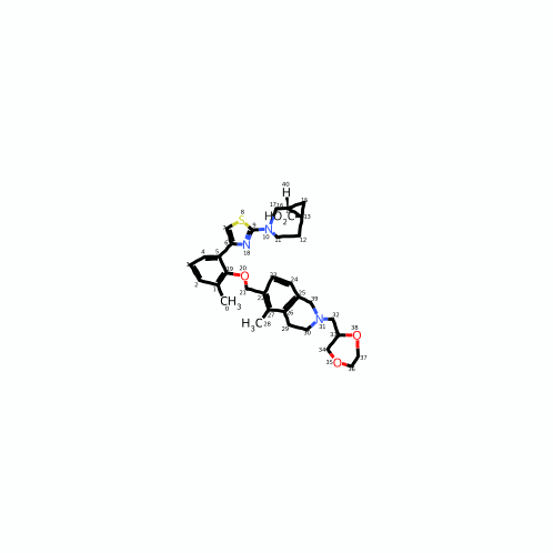 Cc1cccc(-c2csc(N3CC[C@@]4(C(=O)O)C[C@H]4C3)n2)c1OCc1ccc2c(c1C)CCN(CC1COCCO1)C2